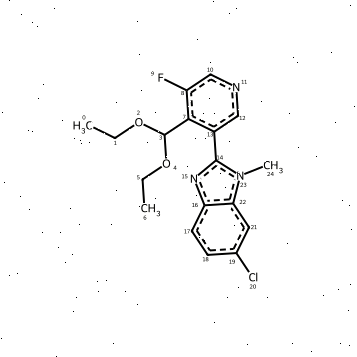 CCOC(OCC)c1c(F)cncc1-c1nc2ccc(Cl)cc2n1C